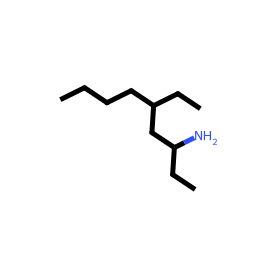 CCCCC(CC)CC(N)CC